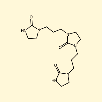 O=C1NCCN1CCCN1CCN(CCCN2CCNC2=O)C1=O